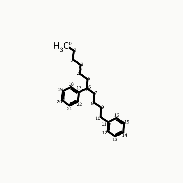 CCCCCC[C](CCCCc1ccccc1)c1ccccc1